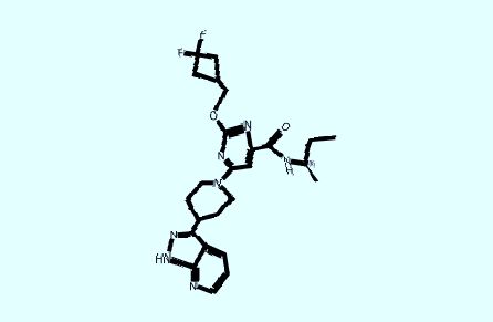 CC[C@@H](C)NC(=O)c1cc(N2CCC(c3n[nH]c4ncccc34)CC2)nc(OCC2CC(F)(F)C2)n1